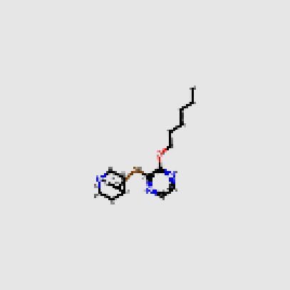 CCCCCCOc1nccnc1SC1CN2CCC1CC2